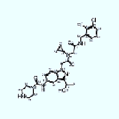 CC(O)c1nn(CC(=O)N(CC(=O)NCc2cccc(Cl)c2F)C2CC2)c2ccc(NC(=O)N3CCNCC3)cc12